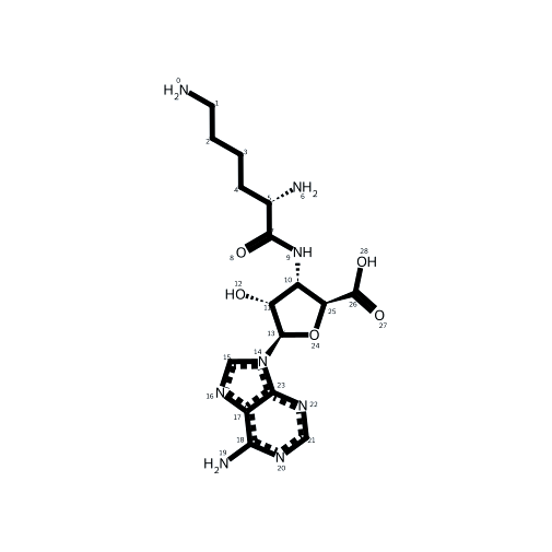 NCCCC[C@H](N)C(=O)N[C@H]1[C@@H](O)[C@H](n2cnc3c(N)ncnc32)O[C@@H]1C(=O)O